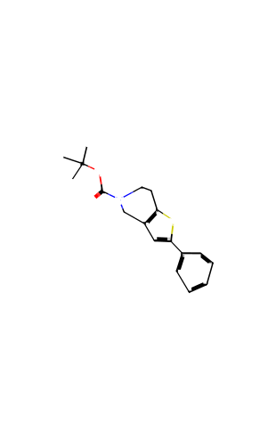 CC(C)(C)OC(=O)N1CCc2sc(-c3ccccc3)cc2C1